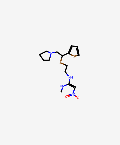 CNC(=C[N+](=O)[O-])NCCSC(CN1CCCC1)c1cccs1